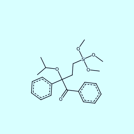 CO[Si](CCC(OC(C)C)(C(=O)c1ccccc1)c1ccccc1)(OC)OC